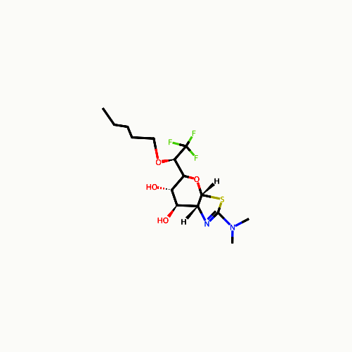 CCCCCO[C@H](C1O[C@@H]2SC(N(C)C)=N[C@@H]2[C@@H](O)[C@@H]1O)C(F)(F)F